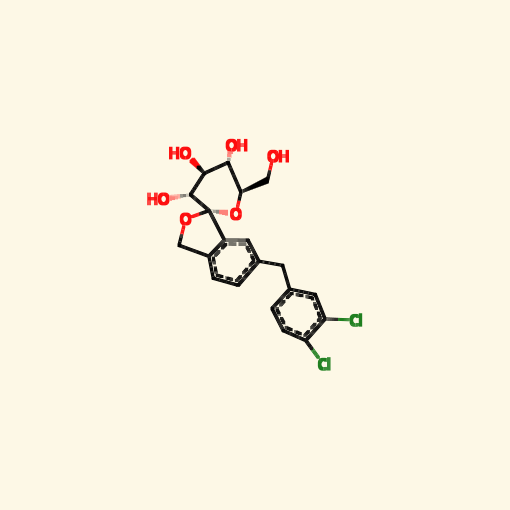 OC[C@H]1O[C@]2(OCc3ccc(Cc4ccc(Cl)c(Cl)c4)cc32)[C@H](O)[C@@H](O)[C@@H]1O